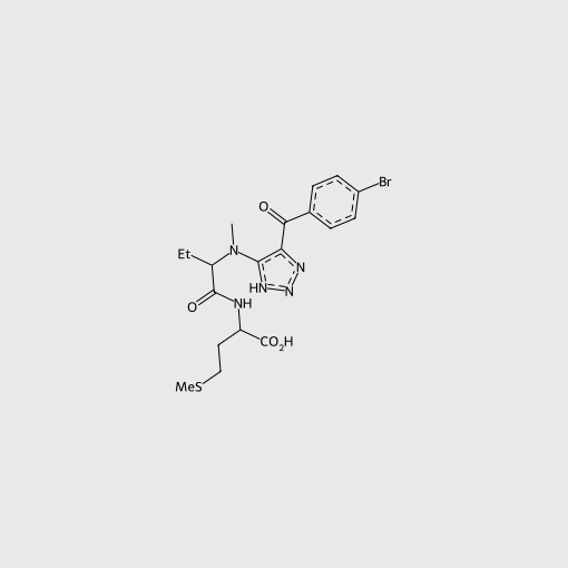 CCC(C(=O)NC(CCSC)C(=O)O)N(C)c1[nH]nnc1C(=O)c1ccc(Br)cc1